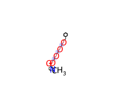 CN1C=CCC(C(=O)OC/C=C/OC/C=C/OC/C=C/OCCc2ccccc2)=C1